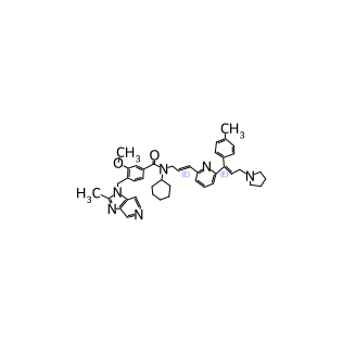 COc1cc(C(=O)N(C/C=C/c2cccc(/C(=C/CN3CCCC3)c3ccc(C)cc3)n2)C2CCCCC2)ccc1Cn1c(C)nc2cnccc21